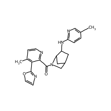 Cc1ccc(NC2CC3CC2N(C(=O)c2nccc(C)c2-c2ncco2)C3)nc1